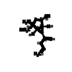 C=COC(=O)[C@H]1[C@H]2[C@@H]1C(N)(C(=O)OCC)C[C@@H]2O